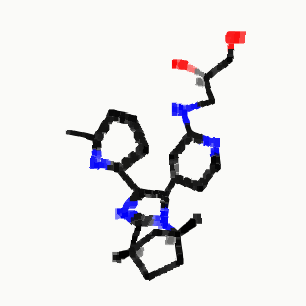 Cc1cccc(-c2nc3n(c2-c2ccnc(NC[C@H](O)CO)c2)[C@@H]2CC[C@H]3C2)n1